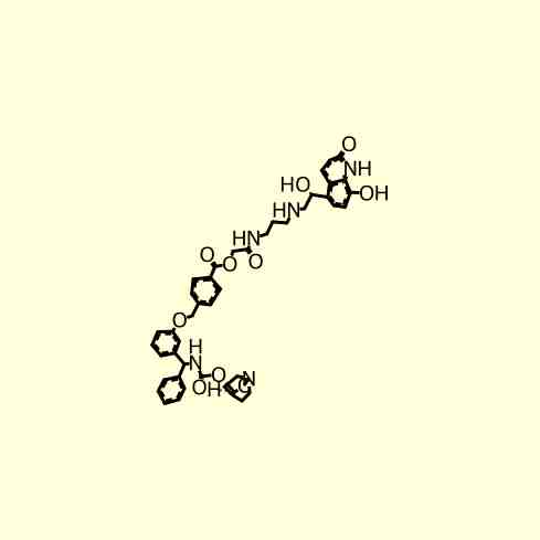 O=C(COC(=O)c1ccc(COc2cccc(C(NC(=O)O[C@H]3CN4CCC3CC4)c3ccccc3)c2)cc1)NCCCNC[C@@H](O)c1ccc(O)c2[nH]c(=O)ccc12